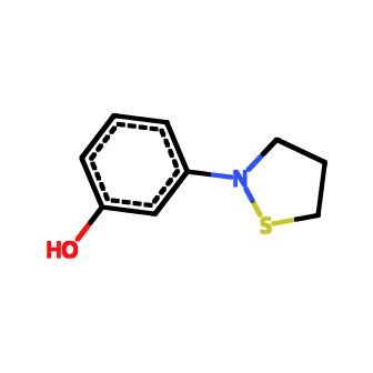 Oc1cccc(N2CCCS2)c1